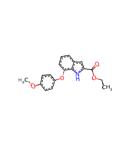 CCOC(=O)c1cc2cccc(Oc3ccc(OC)cc3)c2[nH]1